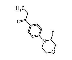 CCC(=O)c1ccc(N2CCOCC2F)cc1